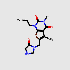 CCn1c(=O)c2c(C)c(CN3CNCC3=O)sc2n(CCOC)c1=O